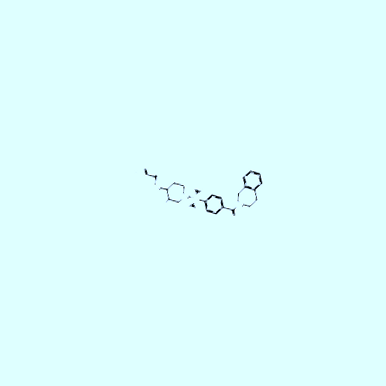 C=CC(=O)NC1CCN(S(=O)(=O)c2ccc(C(=O)N3CCc4ccccc4C3)cc2)CC1C